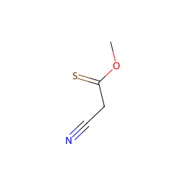 COC(=S)CC#N